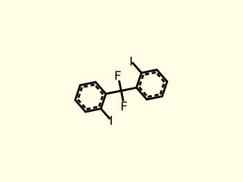 FC(F)(c1ccccc1I)c1ccccc1I